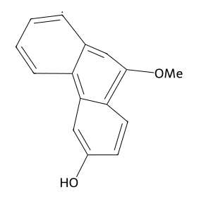 COc1cc2[c]cccc2c2cc(O)ccc12